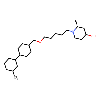 C[C@H]1CC(O)CCN1CCCCCOCC1CCC(C2CCCC(C(F)(F)F)C2)CC1